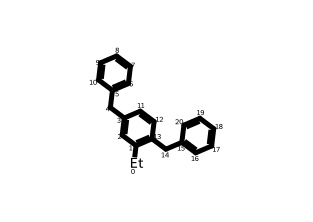 CCc1cc(Cc2ccccc2)ccc1Cc1ccccc1